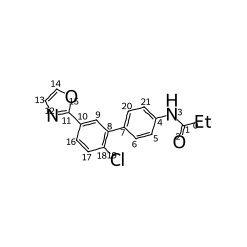 CCC(=O)Nc1ccc(-c2cc(-c3ncco3)ccc2Cl)cc1